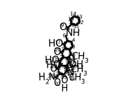 C[C@H]1c2ccc(CNC(=O)c3ccccc3)c(O)c2C(=O)C2=C(O)[C@]3(O)C(=O)C(C(N)=O)=C(O)[C@@H](N(C)C)[C@@H]3[C@@H](O)[C@@H]21